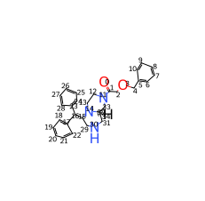 O=C(COCc1ccccc1)N1CCN2C(C(c3ccccc3)c3ccccc3)CNC[C@@H]2C1